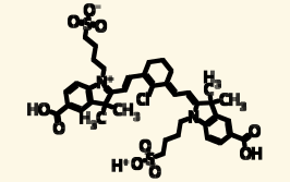 CC1(C)C(/C=C/C2=C(Cl)C(=C/C=C3\N(CCCCS(=O)(=O)[O-])c4ccc(C(=O)O)cc4C3(C)C)/CCC2)=[N+](CCCCS(=O)(=O)[O-])c2ccc(C(=O)O)cc21.[H+]